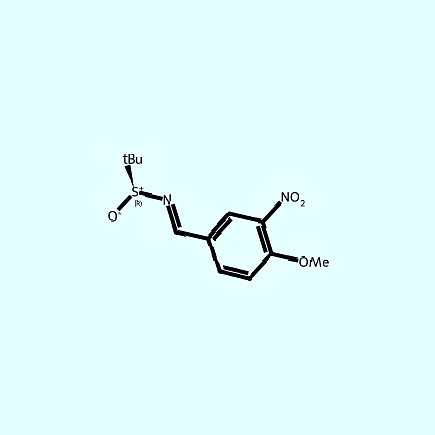 COc1ccc(C=N[S@@+]([O-])C(C)(C)C)cc1[N+](=O)[O-]